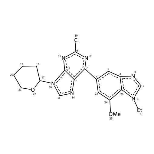 CCn1cnc2cc(-c3nc(Cl)nc4c3ncn4C3CCCCO3)cc(OC)c21